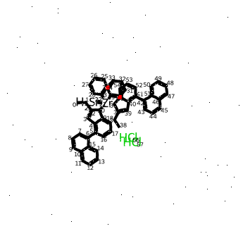 CCC1=Cc2c(-c3cccc4ccccc34)cccc2[CH]1[Zr](=[SiH2])([c]1ccccc1)([c]1ccccc1)[CH]1C(CC)=Cc2c(-c3cccc4ccccc34)cccc21.Cl.Cl